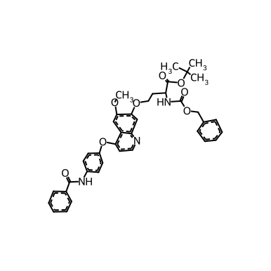 COc1cc2c(Oc3ccc(NC(=O)c4ccccc4)cc3)ccnc2cc1OCCC(NC(=O)OCc1ccccc1)C(=O)OC(C)(C)C